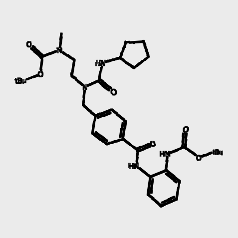 CN(CCN(Cc1ccc(C(=O)Nc2ccccc2NC(=O)OC(C)(C)C)cc1)C(=O)NC1CCCC1)C(=O)OC(C)(C)C